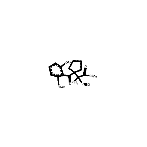 COC(=O)C(C)(P=O)C1(C(=O)c2c(OC)cccc2OC)CCCC1